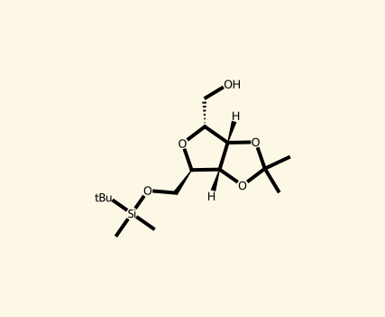 CC1(C)O[C@@H]2[C@H](O1)[C@@H](CO[Si](C)(C)C(C)(C)C)O[C@@H]2CO